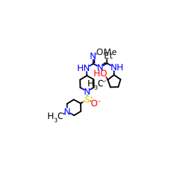 CC/C(=N\C(=NOC)NC1CCN([S+]([O-])C2CCN(C)CC2)CC1)NC1CCC[C@@]1(C)O